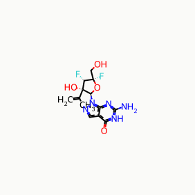 C=C(C)[C@]1(O)[C@H](n2ncc3c(=O)[nH]c(N)nc32)O[C@](F)(CO)[C@H]1F